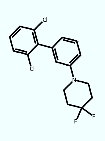 FC1(F)CCN(c2c[c]cc(-c3c(Cl)cccc3Cl)c2)CC1